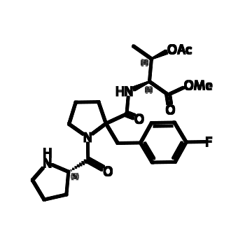 COC(=O)[C@@H](NC(=O)C1(Cc2ccc(F)cc2)CCCN1C(=O)[C@@H]1CCCN1)[C@@H](C)OC(C)=O